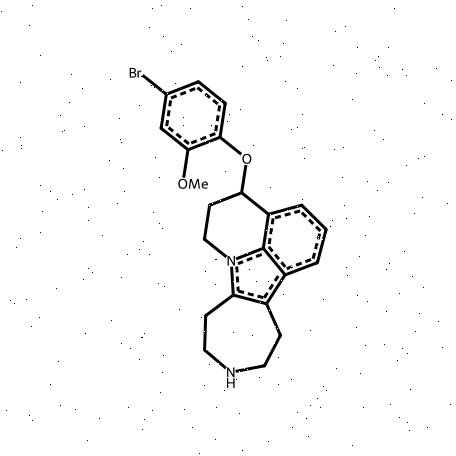 COc1cc(Br)ccc1OC1CCn2c3c(c4cccc1c42)CCNCC3